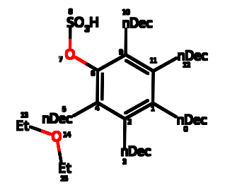 CCCCCCCCCCc1c(CCCCCCCCCC)c(CCCCCCCCCC)c(OS(=O)(=O)O)c(CCCCCCCCCC)c1CCCCCCCCCC.CCOCC